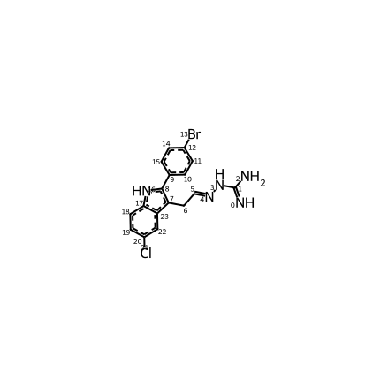 N=C(N)NN=CCc1c(-c2ccc(Br)cc2)[nH]c2ccc(Cl)cc12